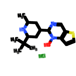 CC1CC(C2N=Cc3sccc3N2O)CC(C(C)(C)C)N1.Cl